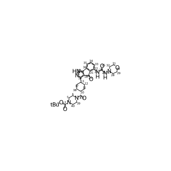 CC(C)(C)OC(=O)N1CCN(C(=O)[C@H]2CC[C@H](c3n[nH]c4c3C(=O)c3c(NC(=O)NN5CCOCC5)cccc3-4)CC2)CC1